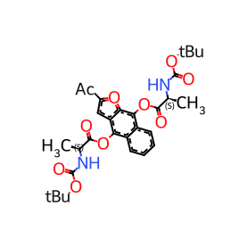 CC(=O)c1cc2c(OC(=O)[C@H](C)NC(=O)OC(C)(C)C)c3ccccc3c(OC(=O)[C@H](C)NC(=O)OC(C)(C)C)c2o1